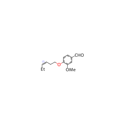 CC/C=C\CCOc1ccc(C=O)cc1OC